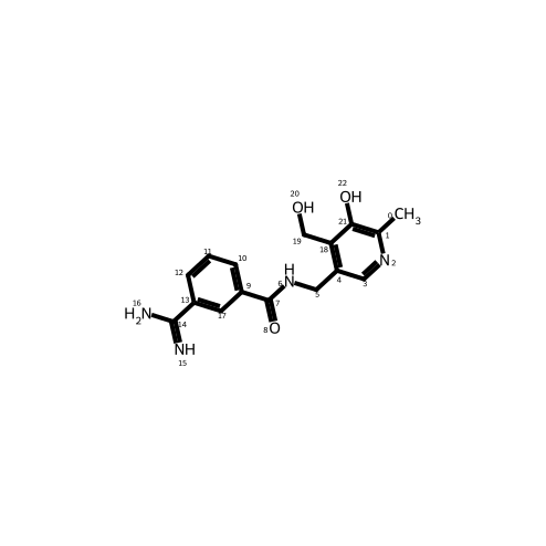 Cc1ncc(CNC(=O)c2cccc(C(=N)N)c2)c(CO)c1O